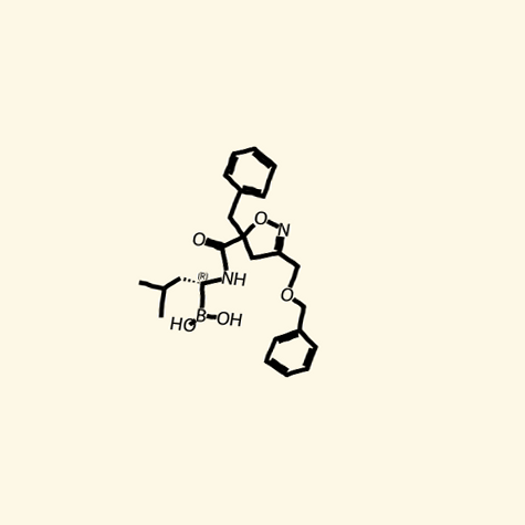 CC(C)C[C@H](NC(=O)C1(Cc2ccccc2)CC(COCc2ccccc2)=NO1)B(O)O